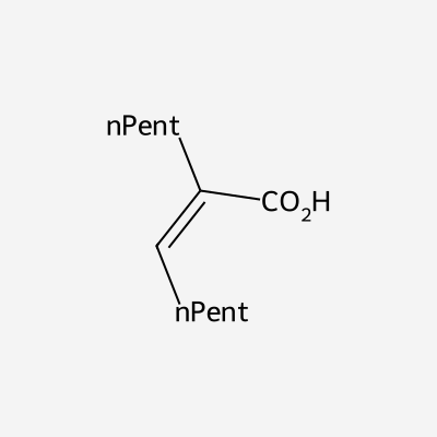 CCCCCC=C(CCCCC)C(=O)O